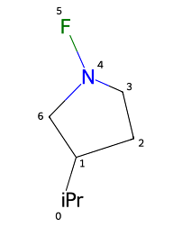 CC(C)C1CCN(F)C1